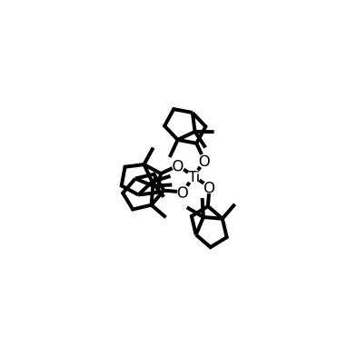 CC1(C)C2CCC1(C)C([O][Ti]([O]C1CC3CCC1(C)C3(C)C)([O]C1CC3CCC1(C)C3(C)C)[O]C1CC3CCC1(C)C3(C)C)C2